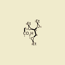 CC(=O)O.CCOCC(OCC)OCC